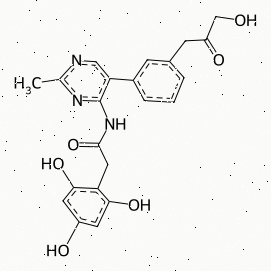 Cc1ncc(-c2cccc(CC(=O)CO)c2)c(NC(=O)Cc2c(O)cc(O)cc2O)n1